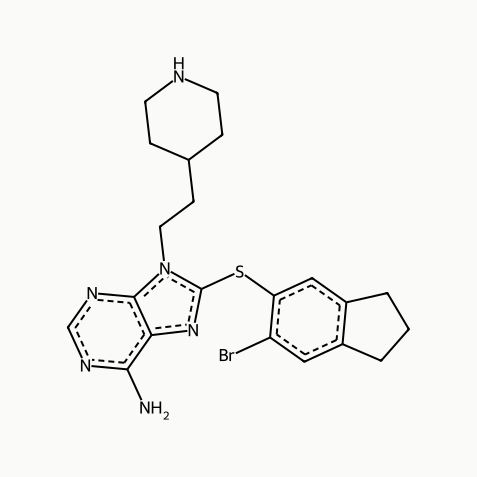 Nc1ncnc2c1nc(Sc1cc3c(cc1Br)CCC3)n2CCC1CCNCC1